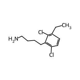 CCc1ccc(Cl)c(CCCCN)c1Cl